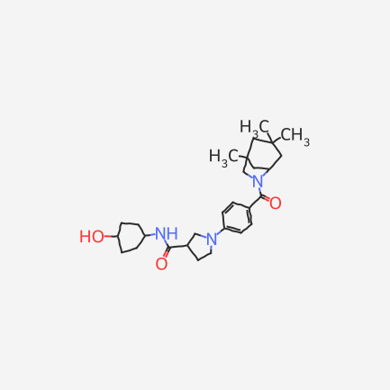 CC1(C)CC2CC(C)(CN2C(=O)c2ccc(N3CCC(C(=O)NC4CCC(O)CC4)C3)cc2)C1